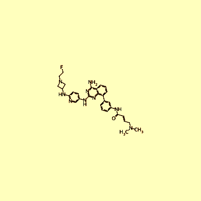 CN(C)CC=CC(=O)Nc1cccc(-c2cccc3c(N)nc(Nc4ccc(NC5CN(CCF)C5)nc4)nc23)c1